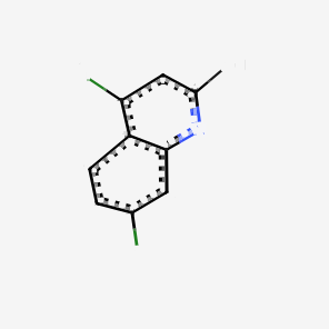 Clc1ccc2c(Cl)cc(C(Cl)(Cl)Cl)nc2c1